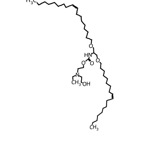 CCCCCCCC/C=C\CCCCCCCCOCC(COCCCCCCCC/C=C\CCCCCCCC)NC(=O)OCCN(CC)CCO